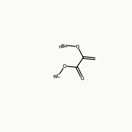 C=C(OCCCC)C(=O)OC#N